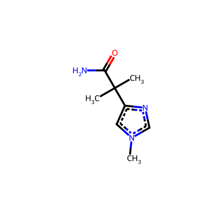 Cn1cnc(C(C)(C)C(N)=O)c1